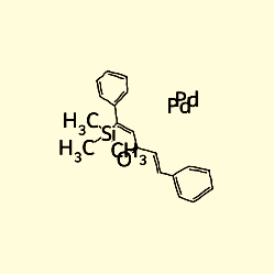 C[Si](C)(C)C(=CC(=O)C=Cc1ccccc1)c1ccccc1.[Pd].[Pd]